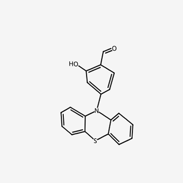 O=Cc1ccc(N2c3ccccc3Sc3ccccc32)cc1O